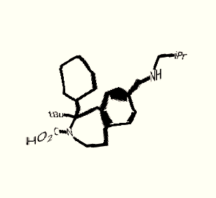 CC(C)CNCc1ccc2c(c1)C(C1CCCCC1)(C(C)(C)C)N(C(=O)O)CC2